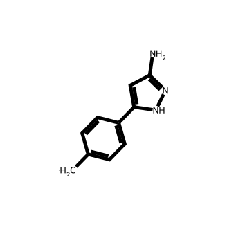 [CH2]c1ccc(-c2cc(N)n[nH]2)cc1